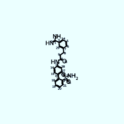 N=C(N)c1cccc(CCC(=O)Nc2ccc(-c3ccccc3S(N)(=O)=O)cc2)c1